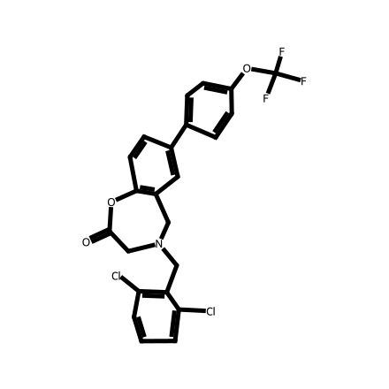 O=C1CN(Cc2c(Cl)cccc2Cl)Cc2cc(-c3ccc(OC(F)(F)F)cc3)ccc2O1